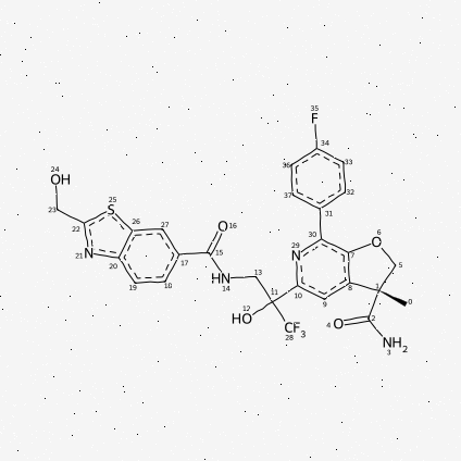 C[C@]1(C(N)=O)COc2c1cc(C(O)(CNC(=O)c1ccc3nc(CO)sc3c1)C(F)(F)F)nc2-c1ccc(F)cc1